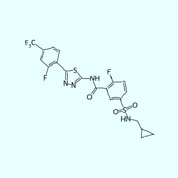 O=C(Nc1nnc(-c2ccc(C(F)(F)F)cc2F)s1)c1cc(S(=O)(=O)NCC2CC2)ccc1F